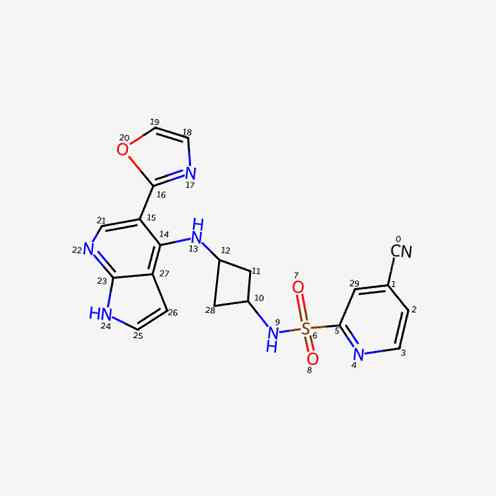 N#Cc1ccnc(S(=O)(=O)NC2CC(Nc3c(-c4ncco4)cnc4[nH]ccc34)C2)c1